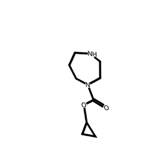 O=C(OC1CC1)N1CCCNCC1